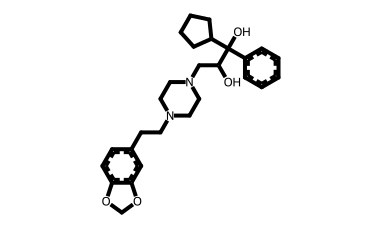 OC(CN1CCN(CCc2ccc3c(c2)OCO3)CC1)C(O)(c1ccccc1)C1CCCC1